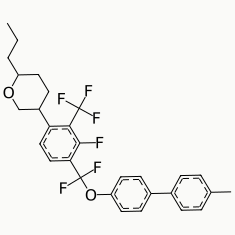 CCCC1CCC(c2ccc(C(F)(F)Oc3ccc(-c4ccc(C)cc4)cc3)c(F)c2C(F)(F)F)CO1